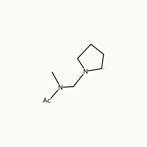 CC(=O)N(C)CN1[CH]CCC1